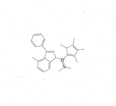 CC1=C(C)C(C)[C]([Zr]([CH]2C=C(c3ccccc3)c3c(C)cccc32)=[Si](C)C)=C1C